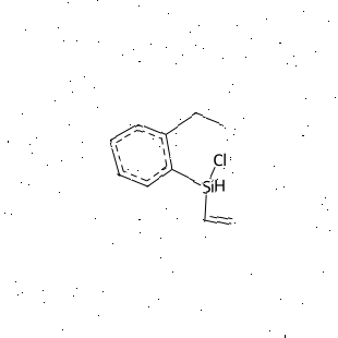 C=C[SiH](Cl)c1ccccc1CC